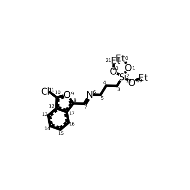 CCO[Si](CCCN=Cc1oc(Cl)c2ccccc12)(OCC)OCC